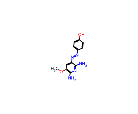 COc1cc(/N=N/c2ccc(O)cc2)c(N)nc1N